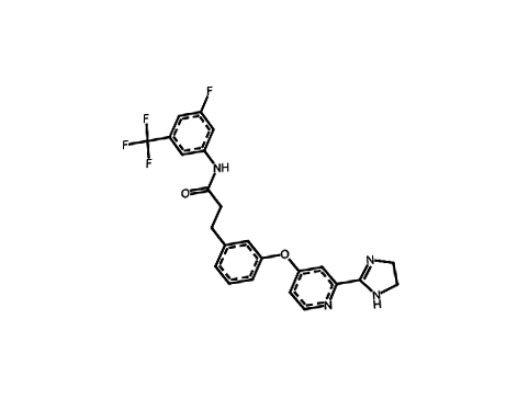 O=C(CCc1cccc(Oc2ccnc(C3=NCCN3)c2)c1)Nc1cc(F)cc(C(F)(F)F)c1